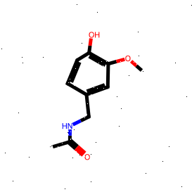 [CH2]C(=O)NCc1ccc(O)c(OC)c1